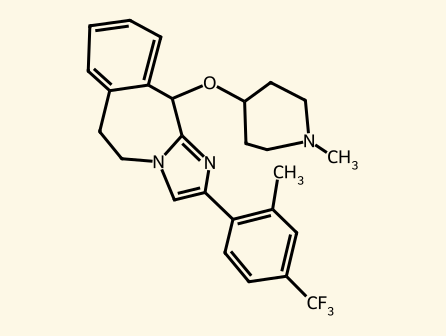 Cc1cc(C(F)(F)F)ccc1-c1cn2c(n1)C(OC1CCN(C)CC1)c1ccccc1CC2